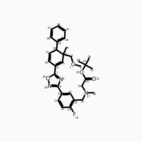 COCC1(C)C=C(c2nc(-c3ccc(F)c(CN(C)CC(=O)OC(C)(C)C)c3)no2)C=CC1c1ccccc1